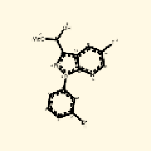 COC(O)c1nn(-c2cccc(Br)c2)c2ncc(F)cc12